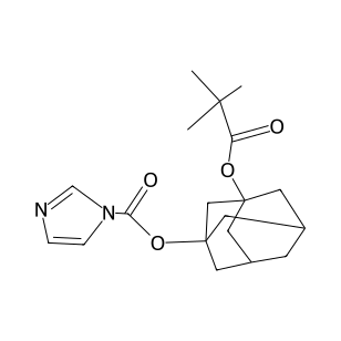 CC(C)(C)C(=O)OC12CC3CC(CC(OC(=O)n4ccnc4)(C3)C1)C2